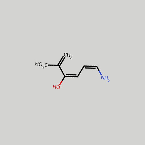 C=C(C(=O)O)/C(O)=C\C=C/N